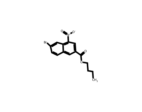 CCCCOC(=O)c1cc([N+](=O)[O-])c2cc(Br)ccc2c1